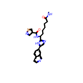 CNC(=O)CCCCCC(NC(=O)c1cnsc1)c1ncc(-c2ccc3ccncc3c2)[nH]1